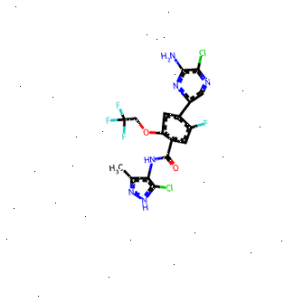 Cc1n[nH]c(Cl)c1NC(=O)c1cc(F)c(-c2cnc(Cl)c(N)n2)cc1OCC(F)(F)F